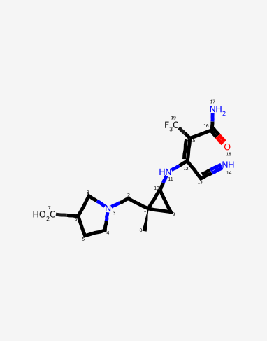 C[C@]1(CN2CCC(C(=O)O)C2)CC1N/C(C=N)=C(/C(N)=O)C(F)(F)F